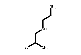 [CH2]CC(C)CNCCN